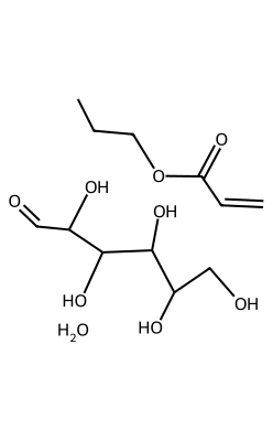 C=CC(=O)OCCC.O.O=CC(O)C(O)C(O)C(O)CO